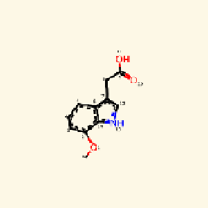 COc1cccc2c(CC(=O)O)c[nH]c12